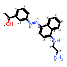 CC(O)c1cccc(N=Nc2ccc(NCCN)c3ccccc23)c1